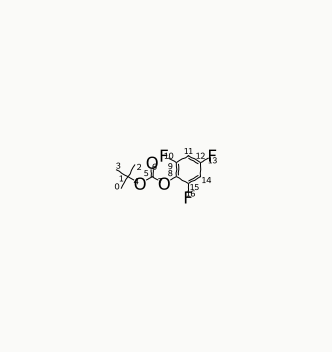 CC(C)(C)OC(=O)Oc1c(F)cc(F)cc1F